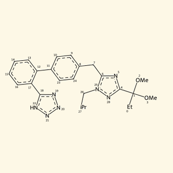 CCC(OC)(OC)c1nc(Cc2ccc(-c3ccccc3-c3nnn[nH]3)cc2)n(CC(C)C)n1